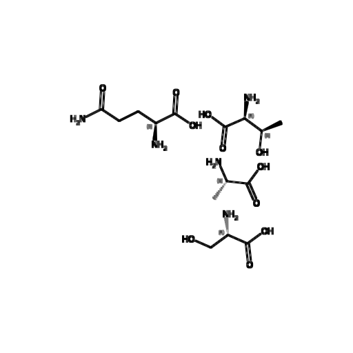 C[C@@H](O)[C@H](N)C(=O)O.C[C@H](N)C(=O)O.NC(=O)CC[C@H](N)C(=O)O.N[C@@H](CO)C(=O)O